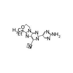 CC[C@]1(C)OCCn2c1nc1c(N3CC4CC3C4)nc(-c3cnc(N)nc3)nc12